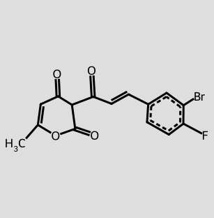 CC1=CC(=O)C(C(=O)C=Cc2ccc(F)c(Br)c2)C(=O)O1